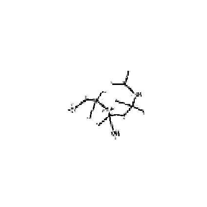 CC(C)NC(C)(C)CC(C)(O)NC(C)(C)CO